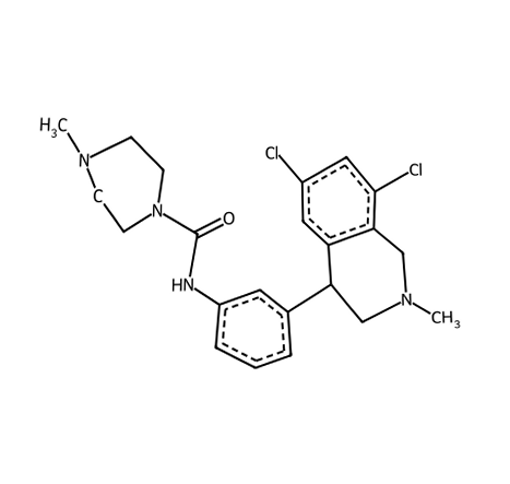 CN1CCN(C(=O)Nc2cccc(C3CN(C)Cc4c(Cl)cc(Cl)cc43)c2)CC1